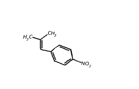 CC(C)=Cc1ccc([N+](=O)[O-])cc1